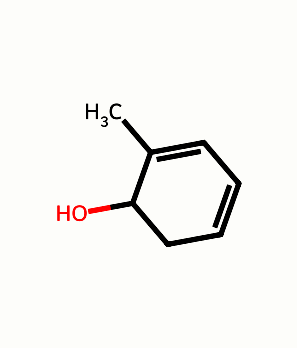 CC1=CC=CCC1O